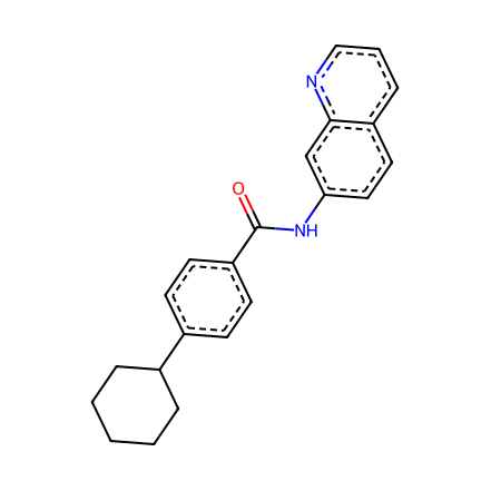 O=C(Nc1ccc2cccnc2c1)c1ccc(C2CCCCC2)cc1